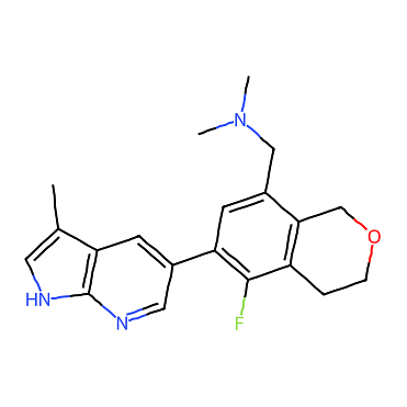 Cc1c[nH]c2ncc(-c3cc(CN(C)C)c4c(c3F)CCOC4)cc12